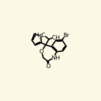 CC(C)C1(c2cccs2)OCC(=O)Nc2ccc(Br)cc21